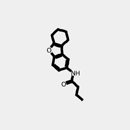 CCCC(=O)Nc1ccc2oc3c(c2c1)CCCC3